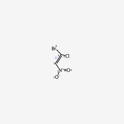 O=[N+]([O-])/C=C(\Cl)Br